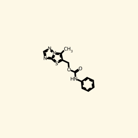 Cc1c(COC(=O)Nc2ccccc2)sc2ncnn12